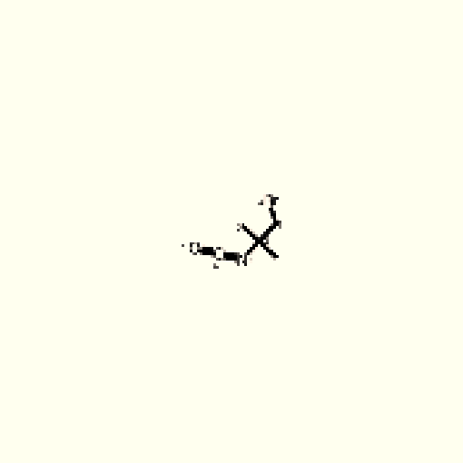 CC(C)(CBr)N=C=O